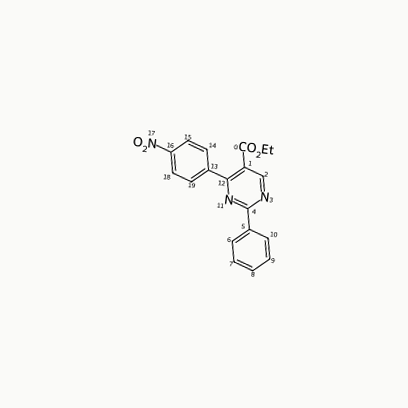 CCOC(=O)c1cnc(-c2ccccc2)nc1-c1ccc([N+](=O)[O-])cc1